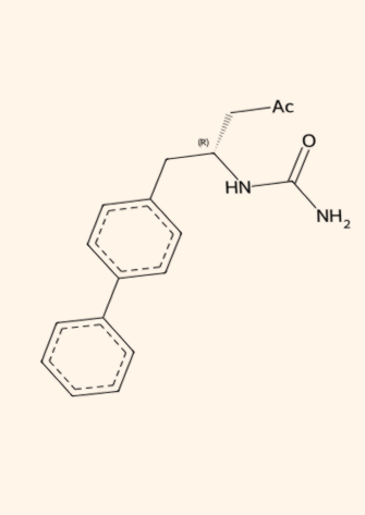 CC(=O)C[C@@H](Cc1ccc(-c2ccccc2)cc1)NC(N)=O